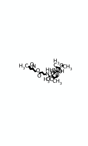 COC(=O)[C@H](C)N[PH]1(O)OCC(C)(C)[C@H](C(=O)NCCC(=O)OCc2cc(C)on2)O1